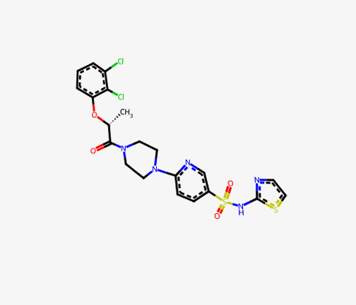 C[C@@H](Oc1cccc(Cl)c1Cl)C(=O)N1CCN(c2ccc(S(=O)(=O)Nc3nccs3)cn2)CC1